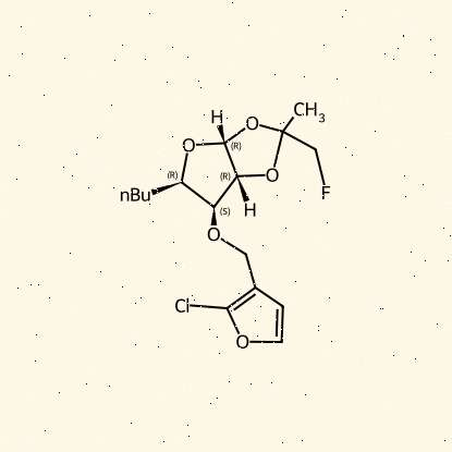 CCCC[C@H]1O[C@@H]2OC(C)(CF)O[C@@H]2[C@H]1OCc1ccoc1Cl